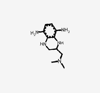 CN(C)CC1CNc2c(N)ccc(N)c2N1